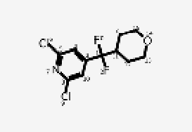 FC(F)(c1cc(Cl)nc(Cl)c1)C1CCOCC1